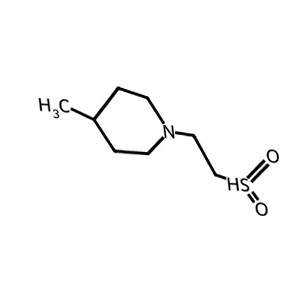 CC1CCN(CC[SH](=O)=O)CC1